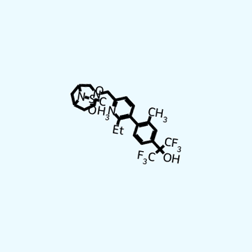 CCc1nc(CN2CCC3CC(C2)N3S(C)(=O)=O)ccc1-c1ccc(C(O)(C(F)(F)F)C(F)(F)F)cc1C